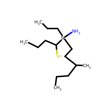 CCCC(C)CC[Si](N)(CCC)C(S)CCC